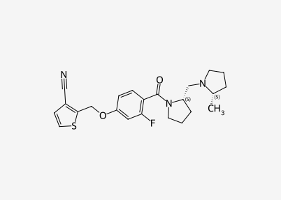 C[C@H]1CCCN1C[C@@H]1CCCN1C(=O)c1ccc(OCc2sccc2C#N)cc1F